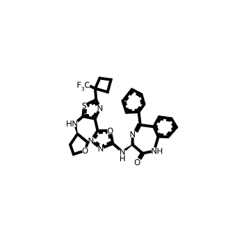 O=C1Nc2ccccc2C(c2ccccc2)=N[C@@H]1Nc1nnc(-c2nc(C3(C(F)(F)F)CCC3)sc2N[C@@H]2CCOC2)o1